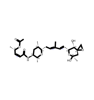 CC(=O)O[C@@H](C)/C=C\C(=O)N[C@H]1C[C@H](C)[C@H](C/C=C(C)/C=C/[C@H]2O[C@](C)(O)C[C@]3(CO3)[C@H]2O)O[C@@H]1C